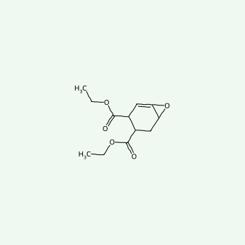 CCOC(=O)C1C=C2OC2CC1C(=O)OCC